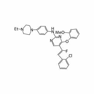 CCN1CCN(c2ccc(Nc3ncc(C(F)=Cc4ccccc4Cl)c(Oc4ccccc4OC)n3)cc2)CC1